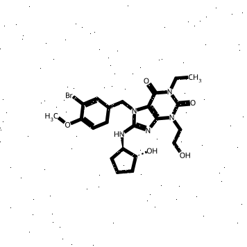 CCn1c(=O)c2c(nc(N[C@@H]3CCC[C@H]3O)n2CC2C=C(Br)C(OC)=CC2)n(CCO)c1=O